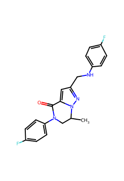 CC1CN(c2ccc(F)cc2)C(=O)c2cc(CNc3ccc(F)cc3)nn21